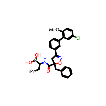 COc1ccc(Cl)cc1-c1cccc(C2=NOC(Cc3ccccc3)(C(=O)NC(CC(C)C)B(O)O)C2)c1